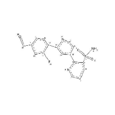 NS(=O)(=O)c1cccnc1-c1ccnc(-c2ccc(C=O)cc2F)c1